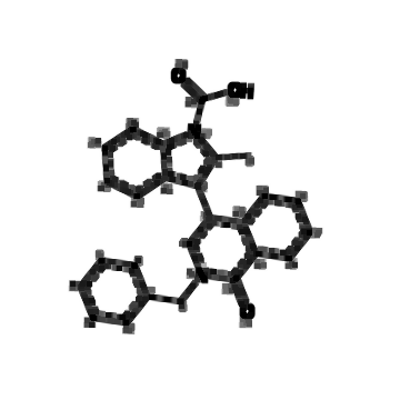 Cc1c(-c2cn(Cc3ccccc3)c(=O)c3ccccc23)c2ccccc2n1C(=O)O